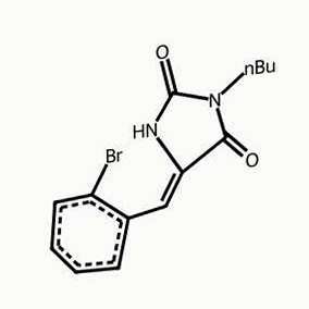 CCCCN1C(=O)NC(=Cc2ccccc2Br)C1=O